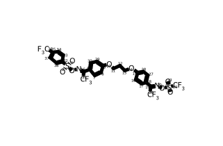 O=S(=O)(O/N=C(/c1ccc(OCCCOc2ccc(/C(=N/OS(=O)(=O)C(F)(F)F)C(F)(F)F)cc2)cc1)C(F)(F)F)c1ccc(C(F)(F)F)cc1